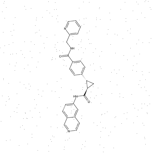 O=C(NCc1ccccn1)c1ccc([C@@H]2C[C@H]2C(=O)Nc2ccc3cnccc3c2)cc1